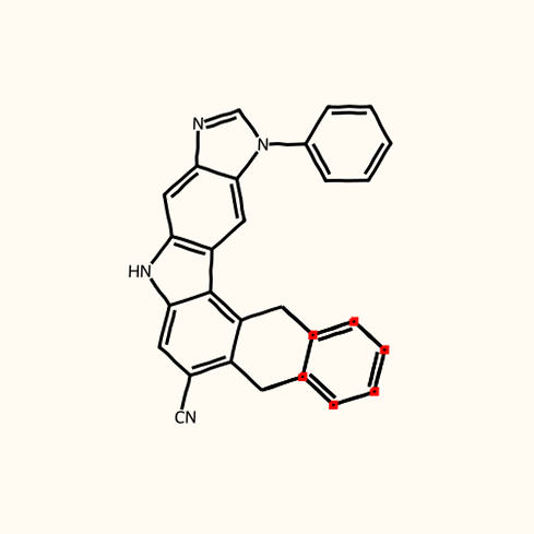 N#Cc1cc2[nH]c3cc4ncn(-c5ccccc5)c4cc3c2c2c1C1c3ccccc3C2c2ccccc21